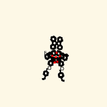 C=Cc1ccc(COc2ccc(C3(c4ccc(F)cc4)c4ccccc4-c4ccc(N(c5cccc(F)c5)c5ccc6c(c5)C5(c7ccccc7-6)c6ccccc6-c6ccc(N(c7cccc(C=C)c7)c7ccc8c(c7)C(c7ccc(F)cc7)(c7ccc(OCc9ccc(C=C)cc9)cc7)c7ccccc7-8)cc65)cc43)cc2)cc1